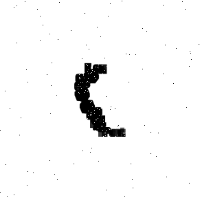 CCCCCc1cnc(C(=O)Oc2ccc(-c3ccc(OC(=O)Oc4ccc(C#N)c(F)c4)cc3)cc2)nc1